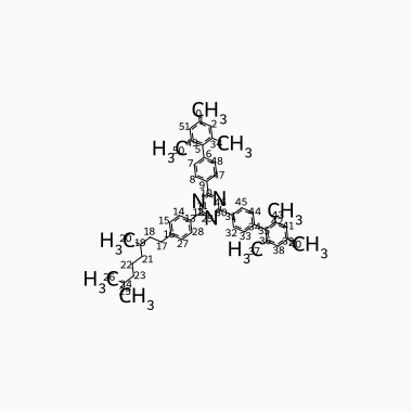 Cc1cc(C)c(-c2ccc(-c3nc(-c4ccc(CCC(C)CCCC(C)C)cc4)nc(-c4ccc(-c5c(C)cc(C)cc5C)cc4)n3)cc2)c(C)c1